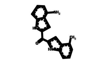 Cc1cccc2[nH]c(C(=O)c3cc4c(N)cccc4[nH]3)cc12